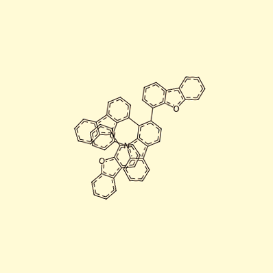 c1ccc(-n2c3ccccc3c3ccc(-c4cccc5c4oc4ccccc45)c(-c4cccc5c6ccccc6n(-c6cccc7c6oc6ccccc67)c45)c32)cc1